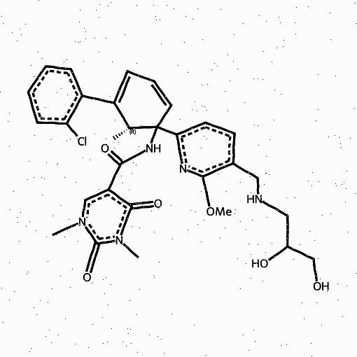 COc1nc(C2(NC(=O)c3cn(C)c(=O)n(C)c3=O)C=CC=C(c3ccccc3Cl)[C@H]2C)ccc1CNCC(O)CO